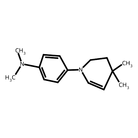 CN(C)c1ccc(N2C=CC(C)(C)CC2)cc1